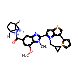 COc1cc(C(=O)N2C[C@H]3CC[C@@H]2[C@@H]3N)cc2nc(-c3cc4scc(-c5cccs5)c4n3CC3CC3)n(C)c12